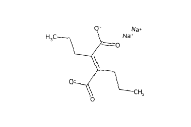 CCCC(C(=O)[O-])=C(CCC)C(=O)[O-].[Na+].[Na+]